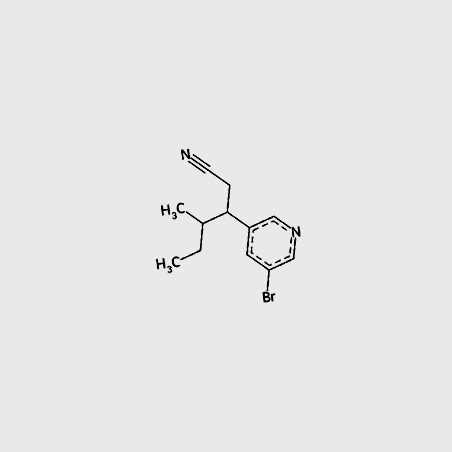 CCC(C)C(CC#N)c1cncc(Br)c1